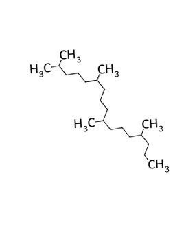 CCCC(C)CCCC(C)CCCC(C)CCCC(C)C